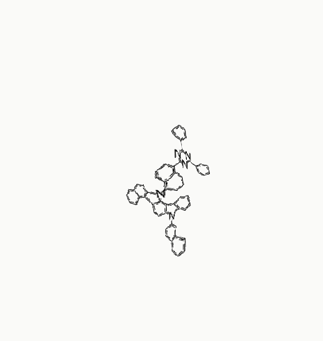 c1ccc(-c2nc(-c3ccccc3)nc(-c3cccc4c(-n5c6ccc7ccccc7c6c6ccc7c(c8ccccc8n7-c7ccc8ccccc8c7)c65)cccc34)n2)cc1